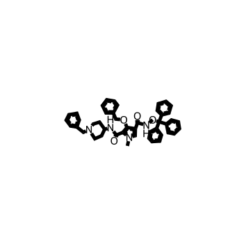 Cn1cc(C(=O)NOC(c2ccccc2)(c2ccccc2)c2ccccc2)c(OCc2ccccc2)c1C(=O)NC1CCN(Cc2ccccc2)CC1